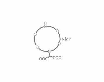 O=C([O-])C(C(=O)[O-])N1CCOCCOCCNCCOCCOCC1.[Na+].[Na+]